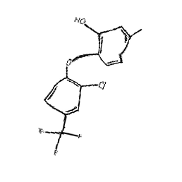 Cc1ccc(Oc2ccc(C(F)(F)F)cc2Cl)c(O)c1